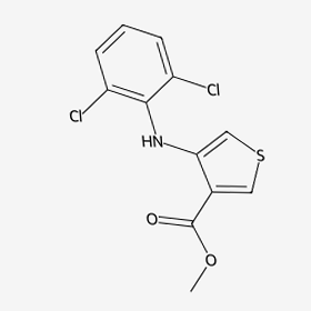 COC(=O)c1cscc1Nc1c(Cl)cccc1Cl